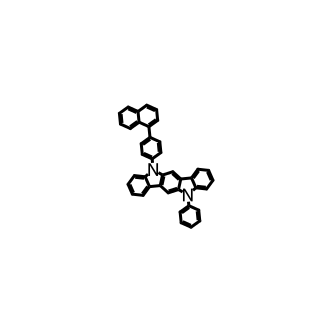 c1ccc(-n2c3ccccc3c3cc4c(cc32)c2ccccc2n4-c2ccc(-c3cccc4ccccc34)cc2)cc1